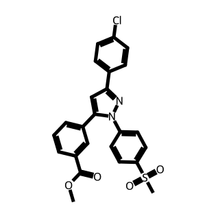 COC(=O)c1cccc(-c2cc(-c3ccc(Cl)cc3)nn2-c2ccc(S(C)(=O)=O)cc2)c1